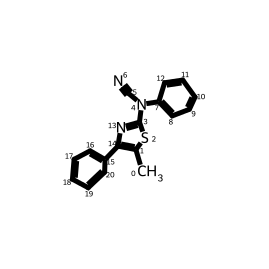 Cc1sc(N(C#N)c2ccccc2)nc1-c1ccccc1